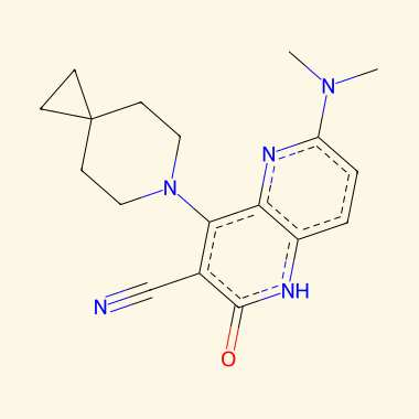 CN(C)c1ccc2[nH]c(=O)c(C#N)c(N3CCC4(CC3)CC4)c2n1